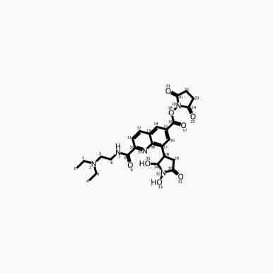 CCN(CC)CCNC(=O)c1ccc2cc(C(=O)ON3C(=O)CCC3=O)cc(C3CC(=O)N(O)C3O)c2n1